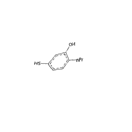 CCCc1ccc(S)cc1O